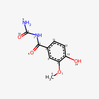 COc1cc(C(=O)NC(N)=O)ccc1O